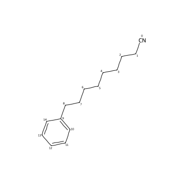 N#CCCCCCCCCc1ccccc1